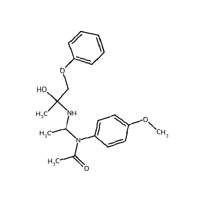 COc1ccc(N(C(C)=O)C(C)NC(C)(O)COc2ccccc2)cc1